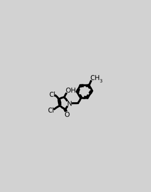 Cc1ccc(CN2C(=O)C(Cl)=C(Cl)C2O)cc1